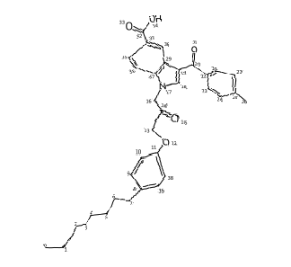 CCCCCCCCc1ccc(OCC(=O)Cn2cc(C(=O)c3ccc(C)cc3)c3cc(C(=O)O)ccc32)cc1